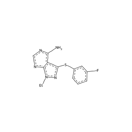 CCn1nc(Sc2cccc(F)c2)c2c(N)ncnc21